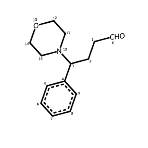 O=CCCC(c1ccccc1)N1CCOCC1